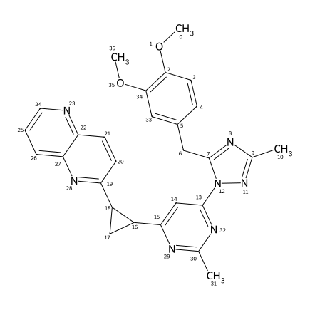 COc1ccc(Cc2nc(C)nn2-c2cc(C3CC3c3ccc4ncccc4n3)nc(C)n2)cc1OC